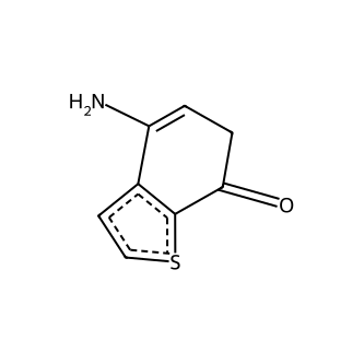 NC1=CCC(=O)c2sccc21